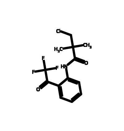 CC(C)(CCl)C(=O)Nc1ccccc1C(=O)C(F)(F)F